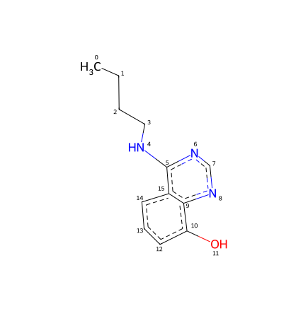 CCCCNc1ncnc2c(O)cccc12